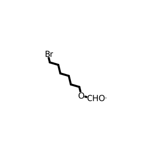 O=[C]OCCCCCCBr